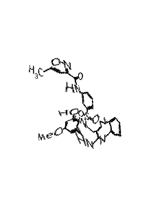 COc1cc(O)cc(Nc2nc3ccccc3nc2NS(=O)(=O)c2cccc(NC(=O)c3cc(C)on3)c2)c1